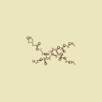 CCCCC(=O)OCCN[C@@H](Cc1ccc(OC(=O)OCC)c(OC(=O)OCC)c1)C(=O)OC